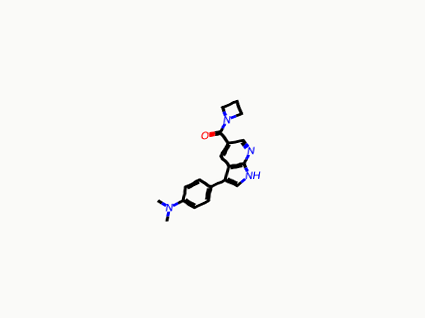 CN(C)c1ccc(-c2c[nH]c3ncc(C(=O)N4CCC4)cc23)cc1